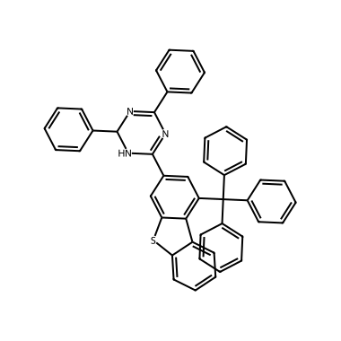 c1ccc(C2=NC(c3ccccc3)NC(c3cc(C(c4ccccc4)(c4ccccc4)c4ccccc4)c4c(c3)sc3ccccc34)=N2)cc1